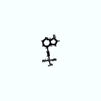 CC(C)[Si](C#Cc1ccnc2[nH]ccc12)(C(C)C)C(C)C